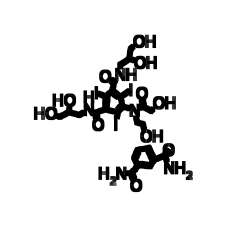 NC(=O)c1cccc(C(N)=O)c1.O=C(NCC(O)CO)c1c(I)c(C(=O)NCC(O)CO)c(I)c(N(CCO)C(=O)CO)c1I